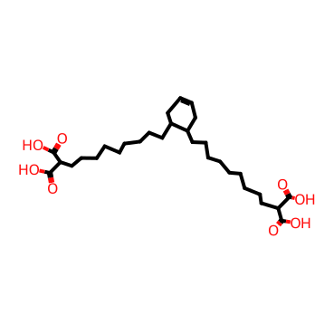 O=C(O)C(CCCCCCCCCC1CC=CCC1CCCCCCCCCC(C(=O)O)C(=O)O)C(=O)O